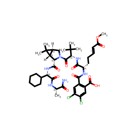 COC(=O)/C=C/CC[C@H](NC(=O)c1cc(Cl)c(Cl)cc1C(=O)O)C(=O)N[C@H](C(=O)N1C[C@H]2[C@H]([C@H]1C(=O)N[C@H](C(=O)N[C@@H](C)C(N)=O)C1CCCCC1)C2(C)C)C(C)(C)C